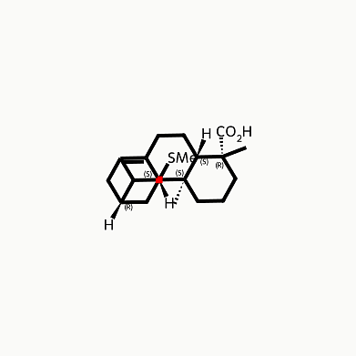 CSCC1C2=C3CC[C@H]4[C@@](C)(CCC[C@@]4(C)C(=O)O)[C@@H]3C[C@@H]1C2